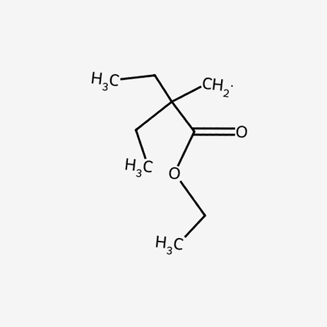 [CH2]C(CC)(CC)C(=O)OCC